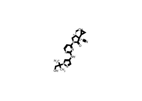 CC[C@H]1CN(c2ccnc(Nc3cnn(C(C)(C)CO)c3)n2)C(=O)[C@]1(C#N)C1CC1